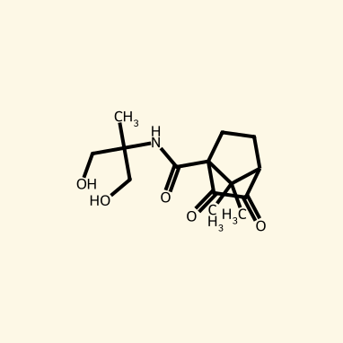 CC(CO)(CO)NC(=O)C12CCC(C(=O)C1=O)C2(C)C